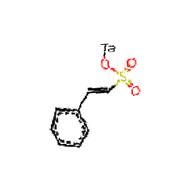 O=S(=O)(C=Cc1ccccc1)[O][Ta]